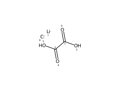 O=C(O)C(=O)O.[C].[Li]